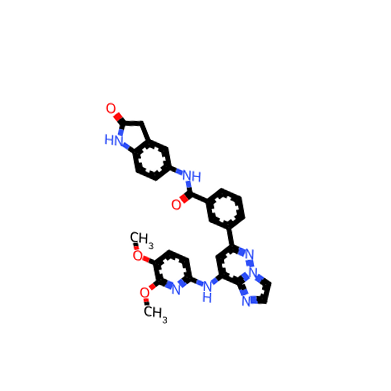 COc1ccc(Nc2cc(-c3cccc(C(=O)Nc4ccc5c(c4)CC(=O)N5)c3)nn3ccnc23)nc1OC